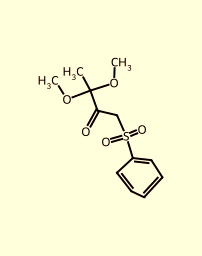 COC(C)(OC)C(=O)CS(=O)(=O)c1ccccc1